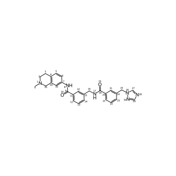 CN1CCc2ccc(NC(=O)c3cccc(CNC(=O)c4cccc(Cn5cncn5)c4)c3)cc2C1